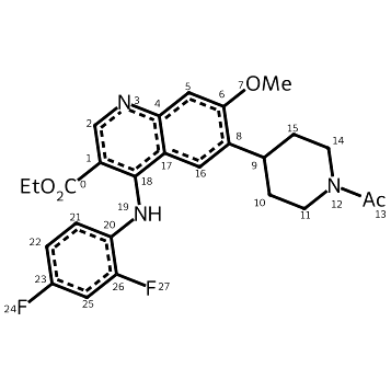 CCOC(=O)c1cnc2cc(OC)c(C3CCN(C(C)=O)CC3)cc2c1Nc1ccc(F)cc1F